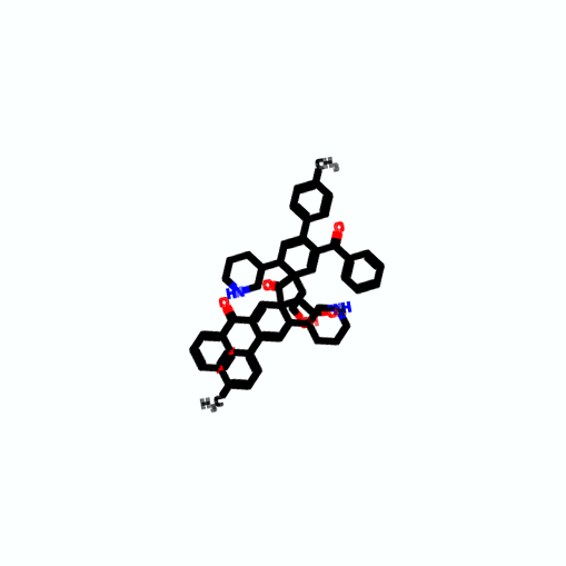 Cc1ccc(C2=CC(C3CCCNC3)C(CCO)(C(=O)C3(CCO)C=C(C(=O)c4ccccc4)C(c4ccc(C)cc4)=CC3C3CCCNC3)C=C2C(=O)c2ccccc2)cc1